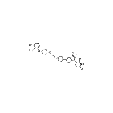 Cc1c(Br)cccc1OC1CCC(OCCCN2CCN(c3ccc4c(C5CCC(=O)NC5=O)nn(C)c4c3)CC2)CC1